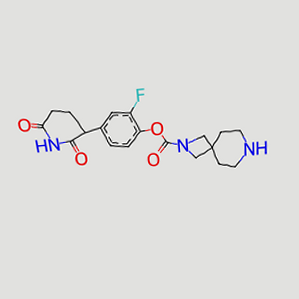 O=C1CCC(c2ccc(OC(=O)N3CC4(CCNCC4)C3)c(F)c2)C(=O)N1